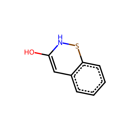 OC1=Cc2ccccc2SN1